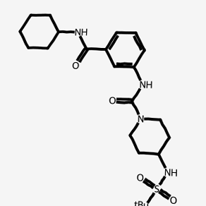 CC(C)(C)S(=O)(=O)NC1CCN(C(=O)Nc2cccc(C(=O)NC3CCCCC3)c2)CC1